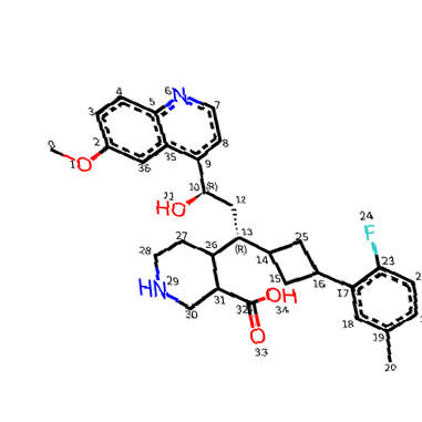 COc1ccc2nccc([C@H](O)C[C@H](C3CC(c4cc(C)ccc4F)C3)C3CCNCC3C(=O)O)c2c1